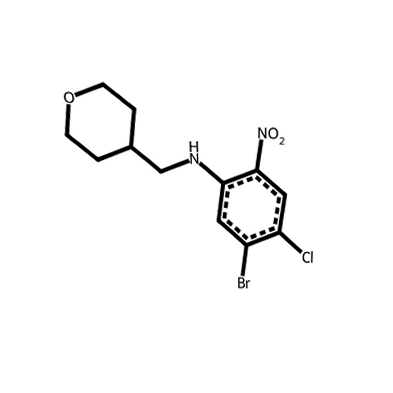 O=[N+]([O-])c1cc(Cl)c(Br)cc1NCC1CCOCC1